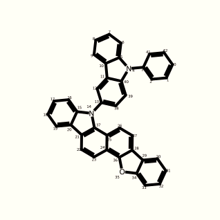 c1ccc(-n2c3ccccc3c3cc(-n4c5ccccc5c5ccc6c(ccc7c8ccccc8oc76)c54)ccc32)cc1